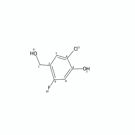 OCc1cc(Cl)c(O)cc1F